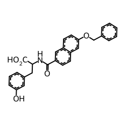 O=C(NC(Cc1cccc(O)c1)C(=O)O)c1ccc2cc(OCc3ccccc3)ccc2c1